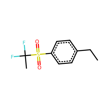 CCc1ccc(S(=O)(=O)C(C)(F)F)cc1